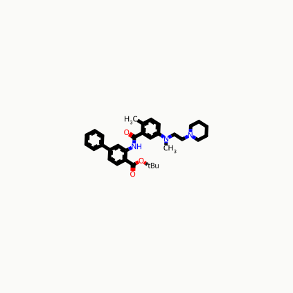 Cc1ccc(N(C)CCN2CCCCC2)cc1C(=O)Nc1cc(-c2ccccc2)ccc1C(=O)OC(C)(C)C